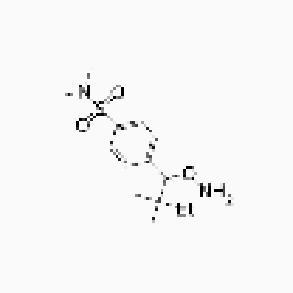 CCC(C)(C)C(ON)c1ccc(S(=O)(=O)N(C)C)cc1